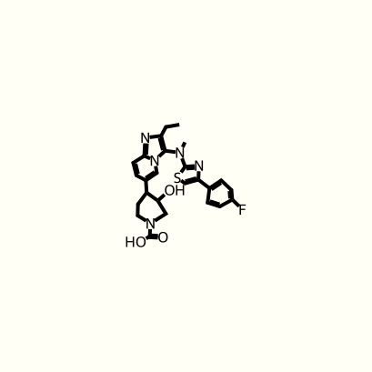 CCc1nc2ccc(C3CCN(C(=O)O)CC3O)cn2c1N(C)c1nc(-c2ccc(F)cc2)cs1